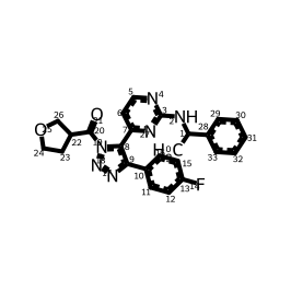 CC(Nc1nccc(-c2c(-c3ccc(F)cc3)nnn2C(=O)C2CCOC2)n1)c1ccccc1